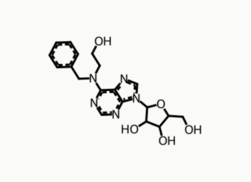 OCCN(Cc1ccccc1)c1ncnc2c1ncn2C1OC(CO)C(O)C1O